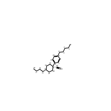 CCCCCc1ccc([C@]2(C#N)CC[C@H](CCCC)CC2)cc1